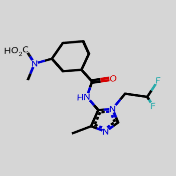 Cc1ncn(CC(F)F)c1NC(=O)C1CCCC(N(C)C(=O)O)C1